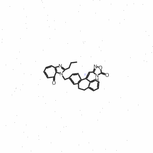 CCCc1nc2ccccc(=O)c2n1Cc1ccc2c(c1)CCc1ccccc1/C2=C\c1noc(=O)[nH]1